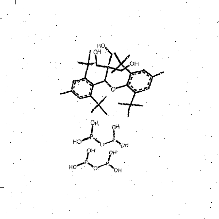 Cc1cc(C(C)(C)C)c(OC(c2c(C(C)(C)C)cc(C)cc2C(C)(C)C)C(CO)(CO)CO)c(C(C)(C)C)c1.OP(O)OP(O)O.OP(O)OP(O)O